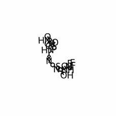 CC(C)(O)c1cc2nc([C@H]3CC[C@H](CN4CC5(CC(CCNc6cccc7c6C(=O)N([C@H]6CCC(=O)NC6=O)C7=O)C5)C4)CC3)sc2cc1NC(=O)c1cccc(C(F)(F)F)n1